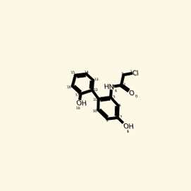 O=C(CCl)Nc1cc(O)ccc1-c1ccccc1O